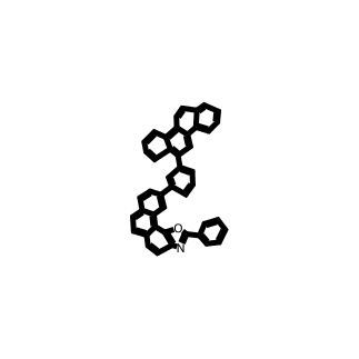 c1ccc(-c2nc3ccc4ccc5ccc(-c6cccc(-c7cc8c9ccccc9ccc8c8ccccc78)c6)cc5c4c3o2)cc1